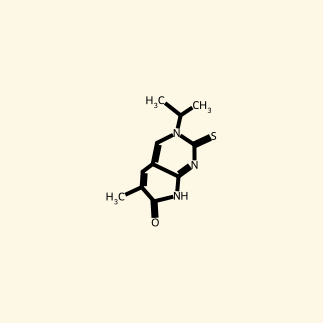 Cc1cc2cn(C(C)C)c(=S)nc2[nH]c1=O